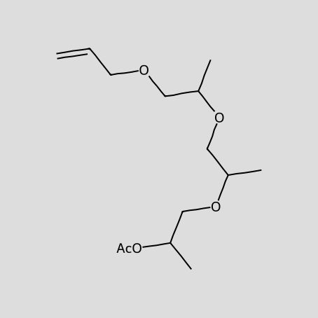 C=CCOCC(C)OCC(C)OCC(C)OC(C)=O